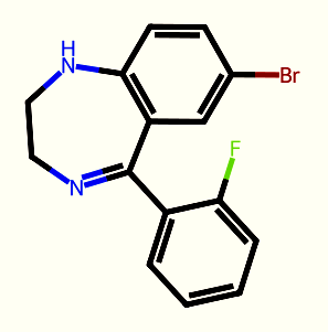 Fc1ccccc1C1=NCCNc2ccc(Br)cc21